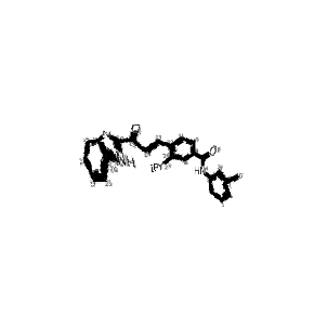 Cc1cccc(NC(=O)c2ccc(C=CC(=O)c3nc4ccccc4[nH]3)c(C(C)C)c2)c1